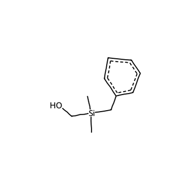 C[Si](C)(CO)Cc1ccccc1